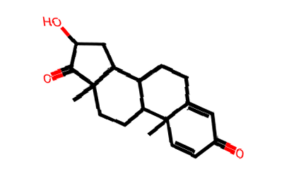 CC12C=CC(=O)C=C1CCC1C2CCC2(C)C(=O)C(O)CC12